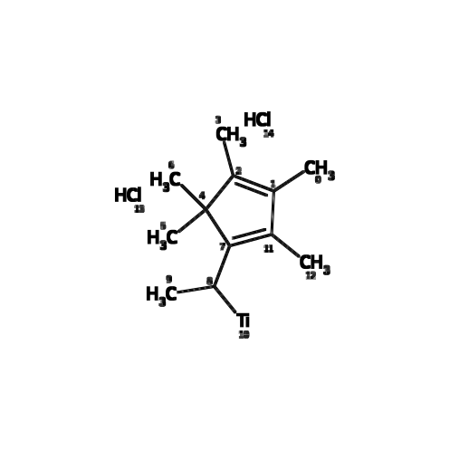 CC1=C(C)C(C)(C)C([CH](C)[Ti])=C1C.Cl.Cl